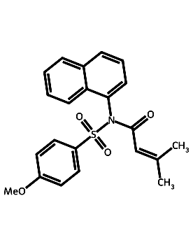 COc1ccc(S(=O)(=O)N(C(=O)C=C(C)C)c2cccc3ccccc23)cc1